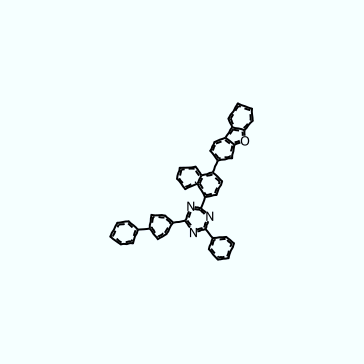 c1ccc(-c2ccc(-c3nc(-c4ccccc4)nc(-c4ccc(-c5ccc6c(c5)oc5ccccc56)c5ccccc45)n3)cc2)cc1